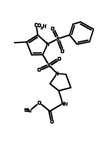 Cc1cc(S(=O)(=O)N2CCC(NC(=O)OC(C)(C)C)C2)n(S(=O)(=O)c2ccccc2)c1C(=O)O